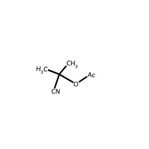 CC(=O)OC(C)(C)C#N